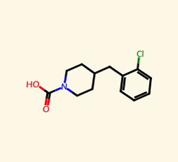 O=C(O)N1CCC(Cc2ccccc2Cl)CC1